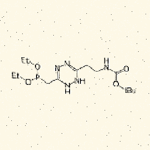 CCOP(CC1=NN=C(CCNC(=O)OC(C)(C)C)NN1)OCC